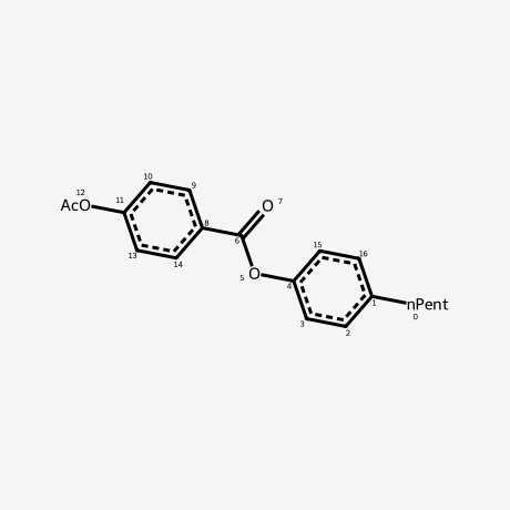 CCCCCc1ccc(OC(=O)c2ccc(OC(C)=O)cc2)cc1